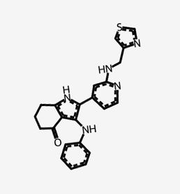 O=C1CCCc2[nH]c(-c3ccnc(NCc4cscn4)c3)c(Nc3ccccc3)c21